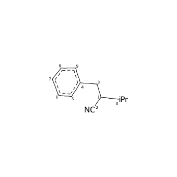 CC(C)C(C#N)Cc1ccccc1